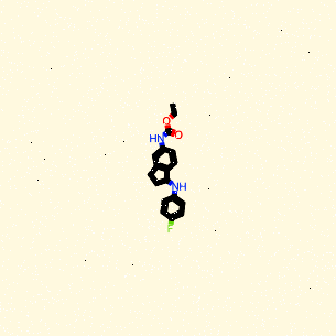 CCOC(=O)Nc1ccc2c(c1)CCC2Nc1ccc(F)cc1